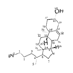 CC(C)CCC[C@@H](C)C1CC[C@H]2C3CC=C4C[C@@H](O)CC[C@]4(C)[C@H]3CCC12C